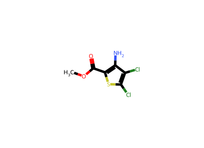 COC(=O)c1sc(Cl)c(Cl)c1N